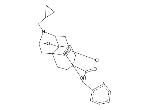 O=C(Cc1ccccn1)N1CCC23CCN(CC4CC4)C(Cc4cc(Cl)c(O)cc42)C3(O)CC1